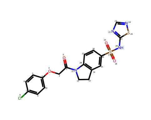 O=C(COc1ccc(Cl)cc1)N1CCc2cc(S(=O)(=O)Nc3ncns3)ccc21